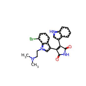 CN(C)CCn1cc(C2=C(c3c[nH]c4ccccc34)C(=O)NC2=O)c2cccc(Br)c21